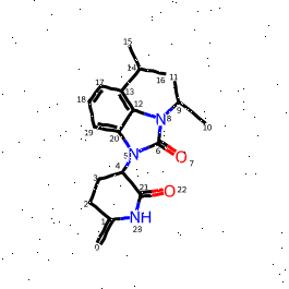 C=C1CCC(n2c(=O)n(C(C)C)c3c(C(C)C)cccc32)C(=O)N1